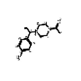 CC(=O)N1CCN(C(C)c2ccc(Br)cc2)CC1